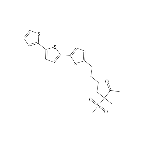 CC(=O)C(C)(CCCCc1ccc(-c2ccc(-c3cccs3)s2)s1)S(C)(=O)=O